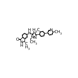 CCn1nc(-c2ccc(-c3ccc(C)nc3)cc2C)nc1Nc1ccc2c(c1)C(C)NC2=O